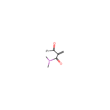 C=C(C(=O)C(C)C)C(=O)P(C)C